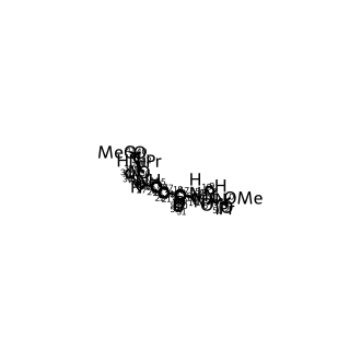 COC(=O)N[C@H](C(=O)N1CCC[C@H]1c1ncc(-c2ccc(-c3ccc4cc(-c5cnc([C@@H]6CCCN6C(=O)[C@H](NC(=O)OC)C(C)C)[nH]5)ccc4c3)c3c2C2CCC3O2)[nH]1)C(C)C